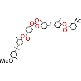 COc1ccc(C(C)(C)c2ccc(OC(=O)c3ccc(OC(=O)Oc4ccc(C(C)(C)c5ccc(OC(=O)c6cccc(C(C)=O)c6)c(C)c5)cc4C)cc3)c(C)c2)cc1C